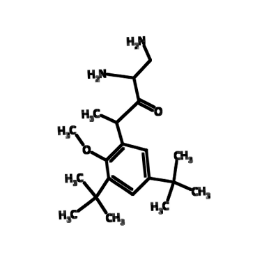 COc1c(C(C)C(=O)C(N)CN)cc(C(C)(C)C)cc1C(C)(C)C